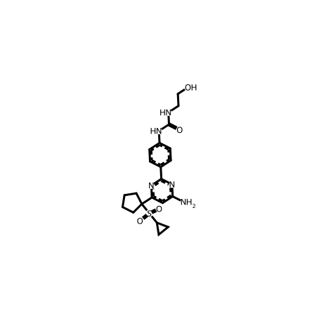 Nc1cc(C2(S(=O)(=O)C3CC3)CCCC2)nc(-c2ccc(NC(=O)NCCO)cc2)n1